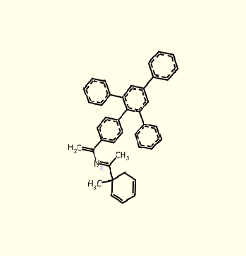 C=C(/N=C(\C)C1(C)C=CC=CC1)c1ccc(-c2c(-c3ccccc3)cc(-c3ccccc3)cc2-c2ccccc2)cc1